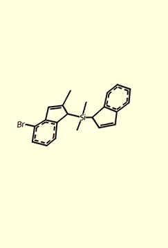 CC1=Cc2c(Br)cccc2C1[Si](C)(C)C1C=Cc2ccccc21